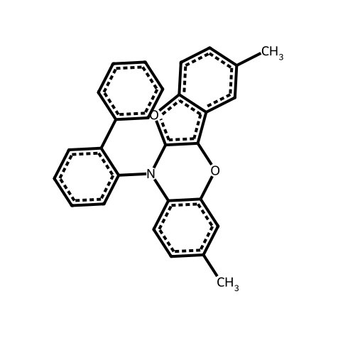 Cc1ccc2c(c1)Oc1c(oc3ccc(C)cc13)N2c1ccccc1-c1ccccc1